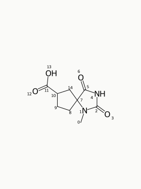 CN1C(=O)NC(=O)C12CCC(C(=O)O)C2